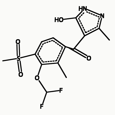 Cc1n[nH]c(O)c1C(=O)c1ccc(S(C)(=O)=O)c(OC(F)F)c1C